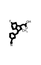 CC1=C(CC(=O)O)c2cc(F)ccc2/C1=C\c1cccc(C#N)c1